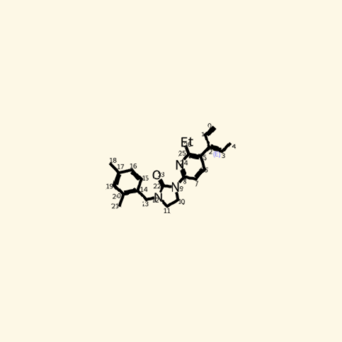 C=C/C(=C\C)c1ccc(N2CCN(Cc3ccc(C)cc3C)C2=O)nc1CC